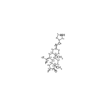 C[C@]12CCC(=NOC3CCNC3)CC1CC(=C(F)F)C1C2CC[C@]2(C)C(=O)C(F)CC12